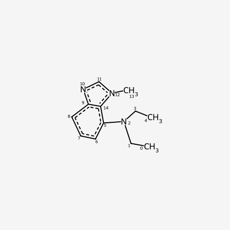 CCN(CC)c1cccc2ncn(C)c12